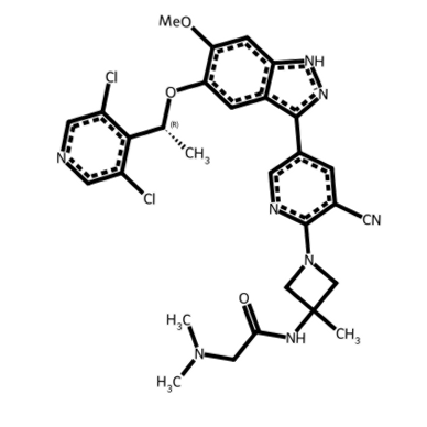 COc1cc2[nH]nc(-c3cnc(N4CC(C)(NC(=O)CN(C)C)C4)c(C#N)c3)c2cc1O[C@H](C)c1c(Cl)cncc1Cl